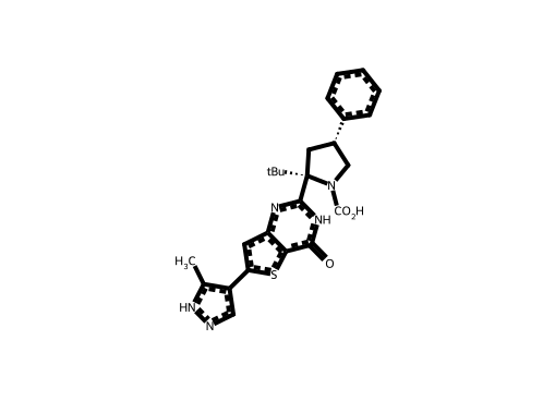 Cc1[nH]ncc1-c1cc2nc([C@@]3(C(C)(C)C)C[C@H](c4ccccc4)CN3C(=O)O)[nH]c(=O)c2s1